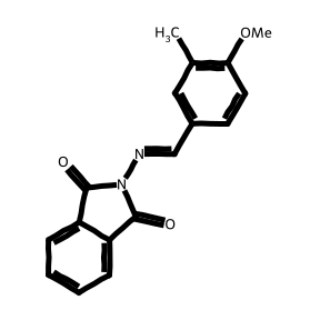 COc1ccc(C=NN2C(=O)c3ccccc3C2=O)cc1C